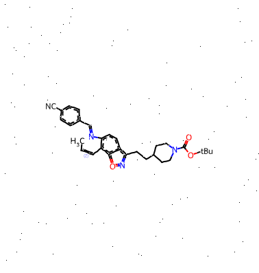 C/C=C\c1c(N=Cc2ccc(C#N)cc2)ccc2c(CCC3CCN(C(=O)OC(C)(C)C)CC3)noc12